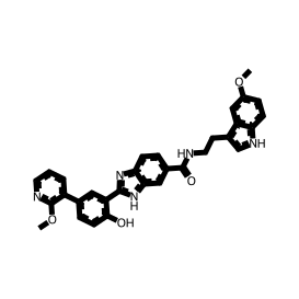 COc1ccc2[nH]cc(CCNC(=O)c3ccc4nc(-c5cc(-c6cccnc6OC)ccc5O)[nH]c4c3)c2c1